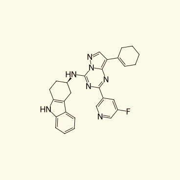 Fc1cncc(-c2nc(N[C@@H]3CCc4[nH]c5ccccc5c4C3)n3ncc(C4=CCCCC4)c3n2)c1